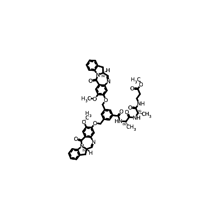 COC(=O)CCNC(=O)[C@H](C)NC(=O)[C@H](C)NC(=O)c1cc(COc2cc3c(cc2OC)C(=O)N2c4ccccc4C[C@H]2C=N3)cc(COc2cc3c(cc2OC)C(=O)N2c4ccccc4C[C@H]2C=N3)c1